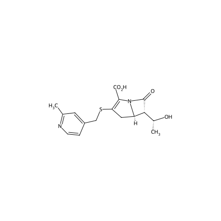 Cc1cc(CSC2=C(C(=O)O)N3C(=O)[C@H]([C@@H](C)O)[C@H]3C2)ccn1